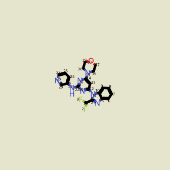 FC(F)c1nc2ccccc2n1-c1cc(N2CCOCC2)nc(Nc2cccnc2)n1